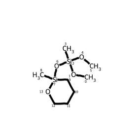 CO[Si](C)(OC)O[Si]1(C)CCCCO1